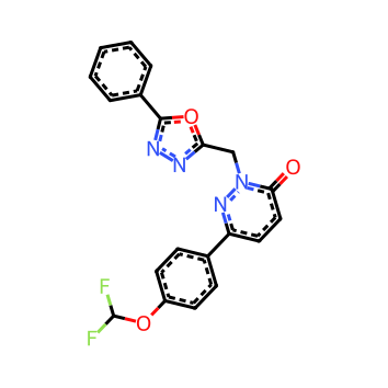 O=c1ccc(-c2ccc(OC(F)F)cc2)nn1Cc1nnc(-c2ccccc2)o1